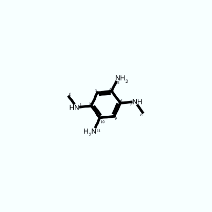 CNc1cc(N)c(NC)cc1N